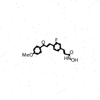 COc1ccc(C(=O)C=Cc2ccc(C=CC(=O)NO)cc2F)cc1